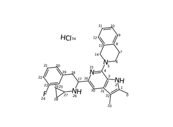 Cc1[nH]c2c(N3CCc4ccccc4C3)nc(C(Cc3cccc(F)c3)NC3CC3)cc2c1C.Cl